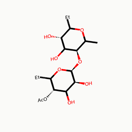 CCC1OC(C)[C@@H](O[C@@H]2OC(CC)[C@@H](OC(C)=O)C(O)[C@@H]2O)C(O)[C@@H]1O